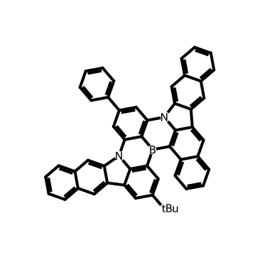 CC(C)(C)c1cc2c3c(c1)c1cc4ccccc4cc1n3-c1cc(-c3ccccc3)cc3c1B2c1c2ccccc2cc2c4cc5ccccc5cc4n-3c12